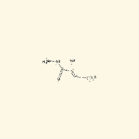 NNC(=O)C=CC(=O)O.[Na]